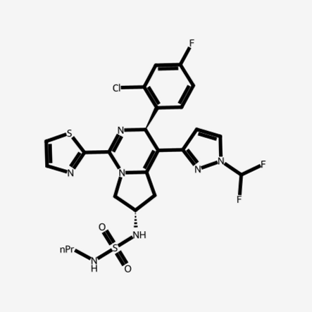 CCCNS(=O)(=O)N[C@H]1CC2=C(c3ccn(C(F)F)n3)[C@H](c3ccc(F)cc3Cl)N=C(c3nccs3)N2C1